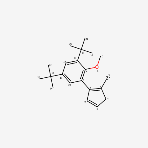 COc1c(C2=[C]([Zr])CC=C2)cc(C(C)(C)C)cc1C(C)(C)C